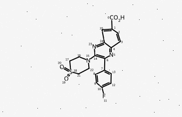 O=C(O)c1ccc2nc(-c3ccc(F)cc3)c(N3CCS(=O)(=O)CC3)nc2c1